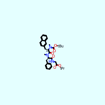 CC(C)OC(=O)CNC(=O)[C@@H](Cc1ccccc1)N(C)C(=O)[C@@H](Cc1ccc2ccccc2c1)N(C)C(=O)OC(C)(C)C